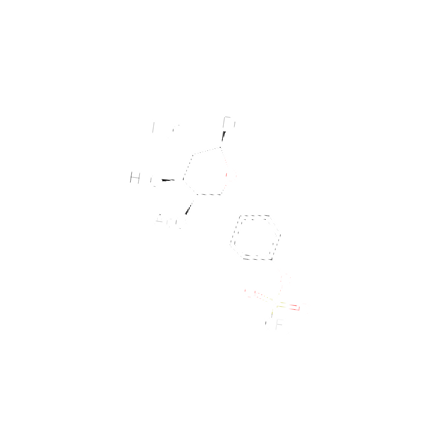 CC[C@H]1O[C@H](c2ccc(OS(=O)(=O)C(F)(F)F)cc2)[C@@H](OC(C)=O)[C@@H](C)[C@@H]1C